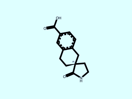 O=C(O)c1ccc2c(c1)CC[C@]1(CCNC1=O)C2